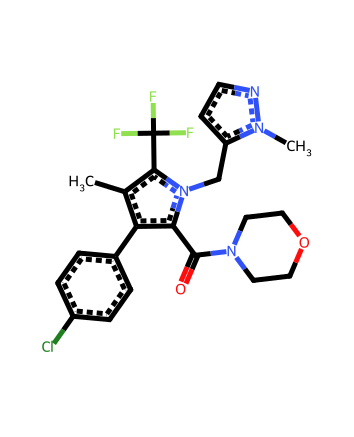 Cc1c(-c2ccc(Cl)cc2)c(C(=O)N2CCOCC2)n(Cc2ccnn2C)c1C(F)(F)F